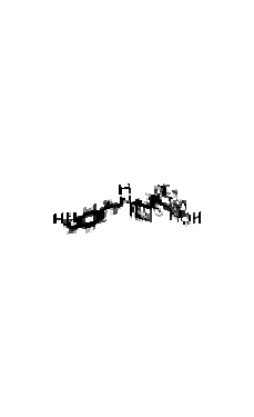 CCOc1cc(-c2cc(NCCc3ccc4cc[nH]c4c3)ncn2)sc1-c1noc(O)n1